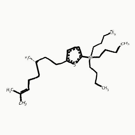 CCC[CH2][Sn]([CH2]CCC)([CH2]CCC)[c]1ccc(CC[C@@H](C)CCC=C(C)C)s1